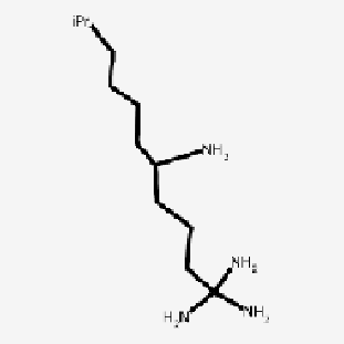 CC(C)CCCCC(N)CCCC(N)(N)N